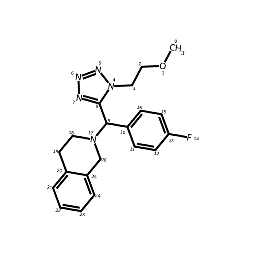 COCCn1nnnc1C(c1ccc(F)cc1)N1CCc2ccccc2C1